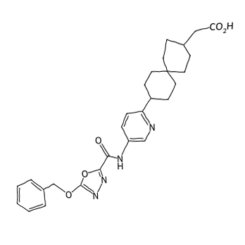 O=C(O)CC1CCC2(CC1)CCC(c1ccc(NC(=O)c3nnc(OCc4ccccc4)o3)cn1)CC2